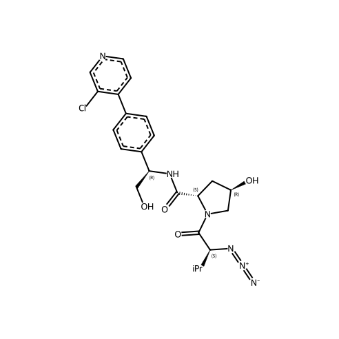 CC(C)[C@H](N=[N+]=[N-])C(=O)N1C[C@H](O)C[C@H]1C(=O)N[C@@H](CO)c1ccc(-c2ccncc2Cl)cc1